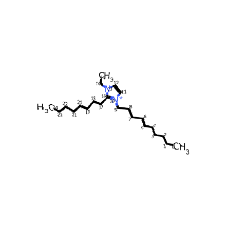 CCCCCCCCCC[n+]1ccn(CC)c1CCCCCCCC